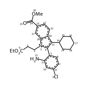 CCOC(=O)CCn1c(-c2ccc(Cl)cc2N)c(C2CCCCC2)c2ccc(C(=O)OC)cc21